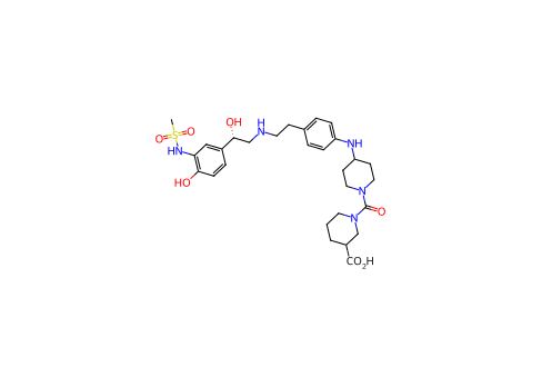 CS(=O)(=O)Nc1cc([C@H](O)CNCCc2ccc(NC3CCN(C(=O)N4CCCC(C(=O)O)C4)CC3)cc2)ccc1O